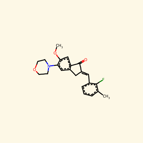 COc1cc2c(cc1N1CCOCC1)C/C(=C\c1cccc(C)c1F)C2=O